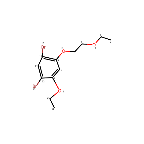 CCOCCOc1cc(OCC)c(Br)cc1Br